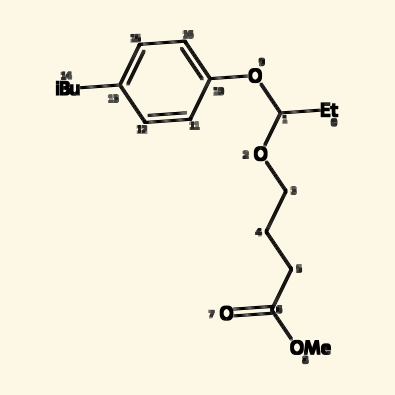 CCC(OCCCC(=O)OC)Oc1ccc(C(C)CC)cc1